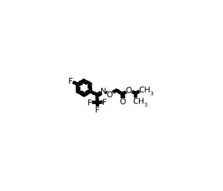 CC(C)OC(=O)CON=C(c1ccc(F)cc1)C(F)(F)F